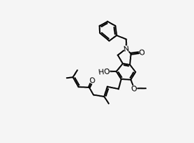 COc1cc2c(c(O)c1C/C=C(\C)CC(=O)C=C(C)C)CN(Cc1ccccc1)C2=O